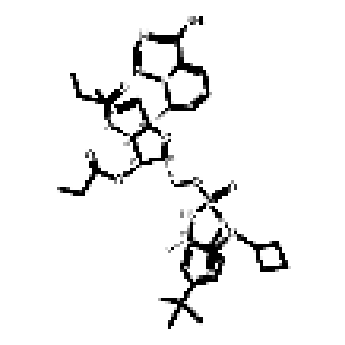 CCC(=O)O[C@H]1[C@@H](OC(=O)CC)[C@](C=NC)(C2C=CC=C3C(N)=NC=NN32)O[C@@H]1COP(=O)(N[C@@H](C)C(=O)OC1CCC1)Oc1ccc(C(C)(C)C)cc1